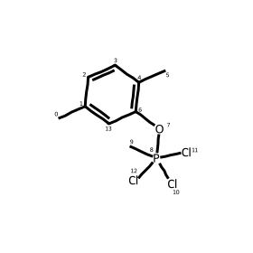 Cc1ccc(C)c(OP(C)(Cl)(Cl)Cl)c1